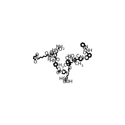 Cc1c(-c2ccc(N3CCc4cccc(C(=O)Nc5nc6ccccc6s5)c4C3)nc2C(=O)O)cnn1CC12CC3(C)CC(C)(C1)CC(OCCN(CCCP(=O)(O)O)C1CCN(C(=O)OCc4ccc(NC(=O)[C@H](CCCNC(N)=O)NC(=O)[C@@H](NC(=O)CCCCCN5C(=O)C=CC5=O)C(C)C)cc4)CC1)(C3)C2